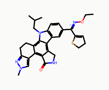 CCO/N=C(\C1=CCCS1)c1ccc2c(c1)c1c3c(c4c(c1n2CC(C)C)CCc1nn(C)cc1-4)C(=O)NC3